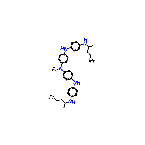 CCN(c1ccc(Nc2ccc(NC(C)CCC(C)C)cc2)cc1)c1ccc(Nc2ccc(NC(C)CCC(C)C)cc2)cc1